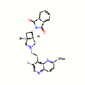 COc1ccc2ncc(F)c(CCN3C[C@H]4C[C@H](N5C(=O)c6ccccc6C5=O)[C@H]4C3)c2n1